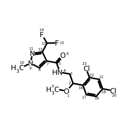 COC(CNC(=O)c1cn(C)nc1C(F)F)c1ccc(Cl)cc1Cl